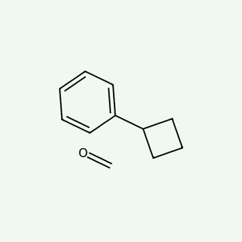 C=O.c1ccc(C2CCC2)cc1